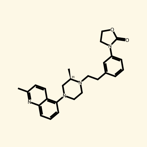 Cc1ccc2c(N3CCN(CCc4cccc(N5CCOC5=O)c4)[C@H](C)C3)cccc2n1